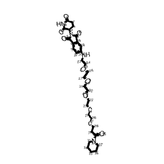 O=C1CCC(N2C(=O)c3ccc(NCCOCCOCCOCCOCCOCCC(=O)N4CCCCC4)cc3C2=O)C(=O)N1